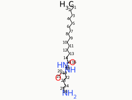 CCCCCCCCCCCCCCCC(=O)NNC(C=O)CCCCN